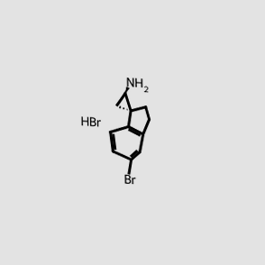 Br.N[C@@H]1C[C@@]12CCc1cc(Br)ccc12